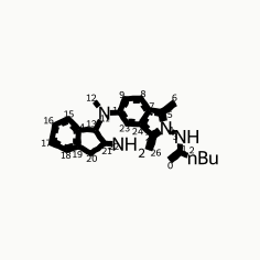 C=C(CCCC)Nn1c(=C)c2ccc(N(C)C3c4ccccc4CC3N)cc2c1=C